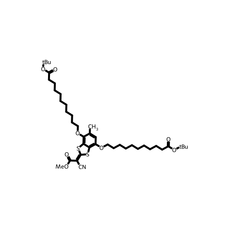 COC(=O)/C(C#N)=C1/Sc2c(OCCCCCCCCCCC(=O)OC(C)(C)C)cc(C)c(OCCCCCCCCCCC(=O)OC(C)(C)C)c2S1